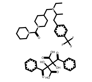 CCN(CC1CCN(C(=O)N2CCCCC2)CC1)C(C)Cc1ccc(C(F)(F)F)cc1.O=C(O)C(O)(C(=O)c1ccccc1)C(O)(C(=O)O)C(=O)c1ccccc1